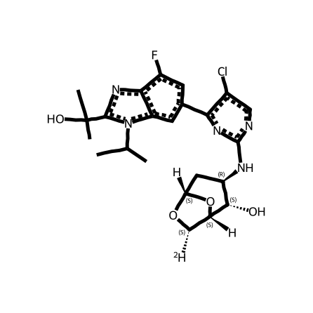 [2H][C@@H]1O[C@@H]2C[C@@H](Nc3ncc(Cl)c(-c4cc(F)c5nc(C(C)(C)O)n(C(C)C)c5c4)n3)[C@H](O)[C@H]1O2